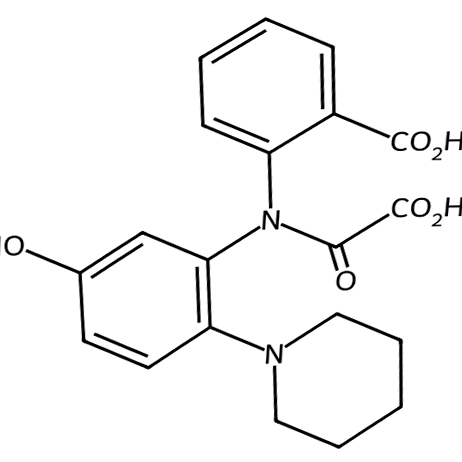 O=C(O)C(=O)N(c1ccccc1C(=O)O)c1cc(O)ccc1N1CCCCC1